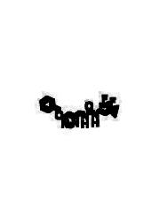 O=C(NCCC1(C(F)(F)F)CC1)NCc1cc(OCc2ccccc2)ncn1